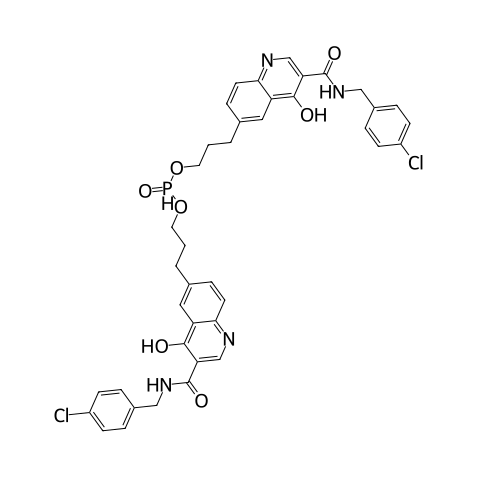 O=C(NCc1ccc(Cl)cc1)c1cnc2ccc(CCCO[PH](=O)OCCCc3ccc4ncc(C(=O)NCc5ccc(Cl)cc5)c(O)c4c3)cc2c1O